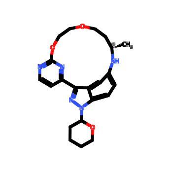 C[C@H]1CCOCCOc2nccc(n2)-c2nn(C3CCCCO3)c3ccc(cc23)N1